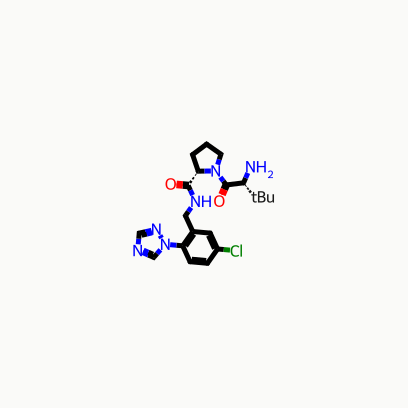 CC(C)(C)[C@@H](N)C(=O)N1CCC[C@H]1C(=O)NCc1cc(Cl)ccc1-n1cncn1